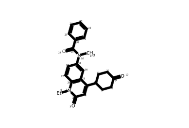 CCn1c(=O)cc(C2CCC(=O)CC2)c2cc(N(C)C(=O)c3ccccc3)ccc21